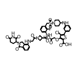 O=C(O)COc1c(C(=O)O)sc(-c2cccc(NC3CCN(S(=O)(=O)Cc4cccc(NC(=O)C5CN(C(=O)CNc6cccc7c6CN(C6CCC(=O)NC6=O)C7=O)C5)c4F)CC3)c2)c1Cl